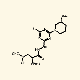 CCCCC[C@@H](CN(O)C=O)C(=O)NNc1nc(CC)nc(N2CCCC(OC)C2)n1